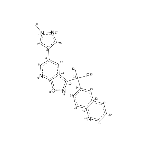 Cn1cc(-c2cnc3onc(C(C)(F)c4ccc5ncccc5c4)c3c2)cn1